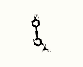 CCC(=O)Oc1ccnc(C#Cc2ccc(C(F)(F)F)cc2)c1